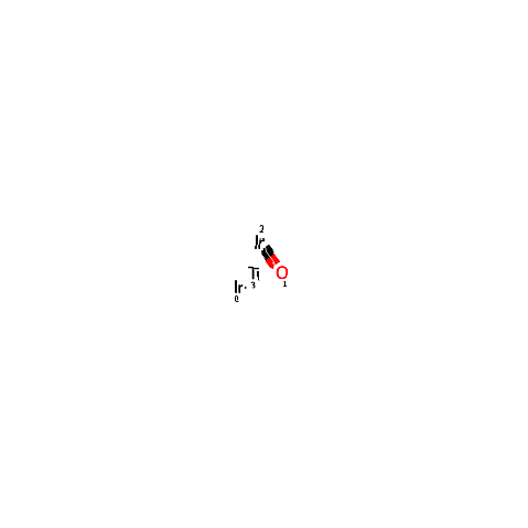 [Ir].[O]=[Ir].[Ti]